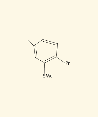 CSc1cc(C)ccc1C(C)C